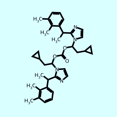 Cc1cccc(C(C)c2nccn2C(CC2CC2)OC(=O)OC(CC2CC2)n2ccnc2C(C)c2cccc(C)c2C)c1C